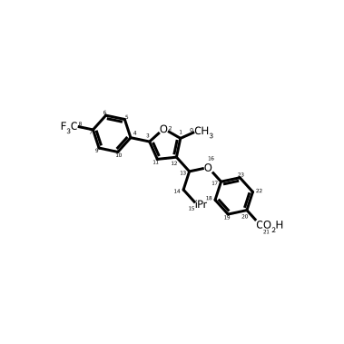 Cc1oc(-c2ccc(C(F)(F)F)cc2)cc1C(CC(C)C)Oc1ccc(C(=O)O)cc1